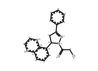 O=C(CCl)N1N=C(c2ccccc2)CC1c1cccc2nccnc12